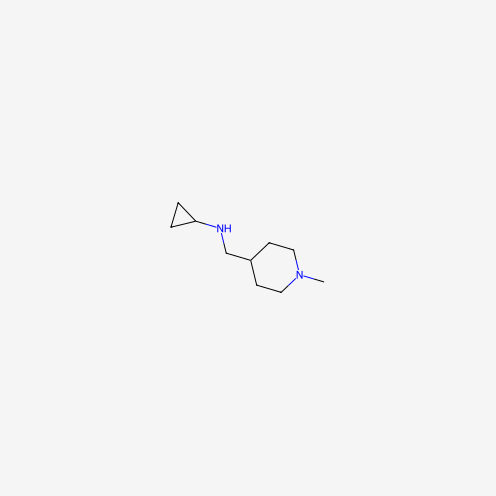 CN1CCC(CNC2CC2)CC1